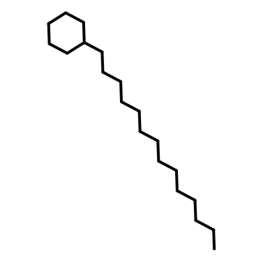 CCCCCCCCCCCCCCC1CCCCC1